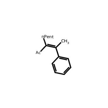 CCCCCC(C(C)=O)=C(C)c1ccccc1